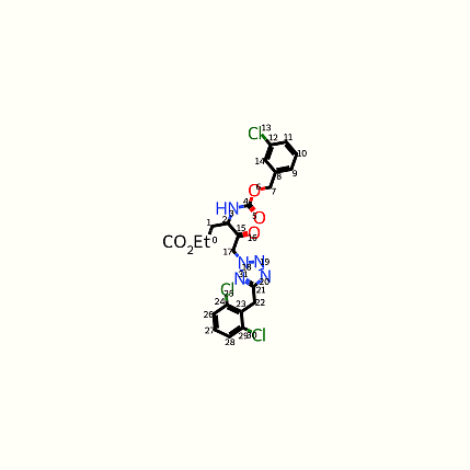 CCOC(=O)CC(NC(=O)OCc1cccc(Cl)c1)C(=O)Cn1nnc(Cc2c(Cl)cccc2Cl)n1